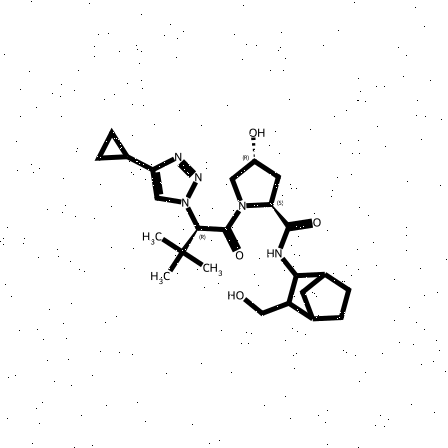 CC(C)(C)[C@H](C(=O)N1C[C@H](O)C[C@H]1C(=O)NC1C2CCC(C2)C1CO)n1cc(C2CC2)nn1